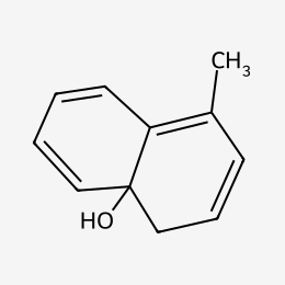 CC1=C2C=CC=CC2(O)CC=C1